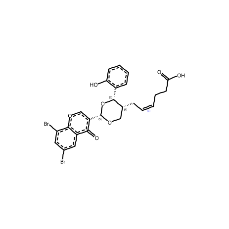 O=C(O)CC/C=C\C[C@@H]1CO[C@H](c2coc3c(Br)cc(Br)cc3c2=O)O[C@@H]1c1ccccc1O